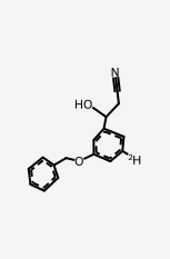 [2H]c1cc(OCc2ccccc2)cc(C(O)CC#N)c1